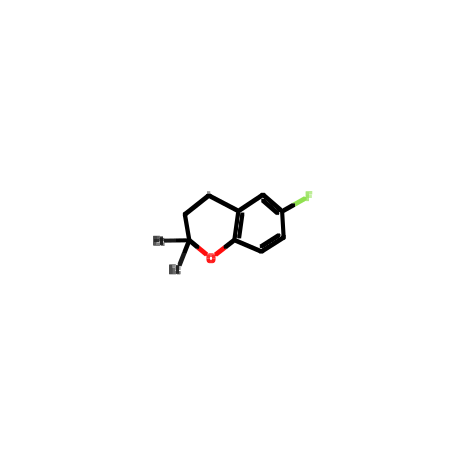 CCC1(CC)C[CH]c2cc(F)ccc2O1